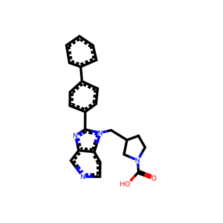 O=C(O)N1CCC(Cn2c(-c3ccc(-c4ccccc4)cc3)nc3cnccc32)C1